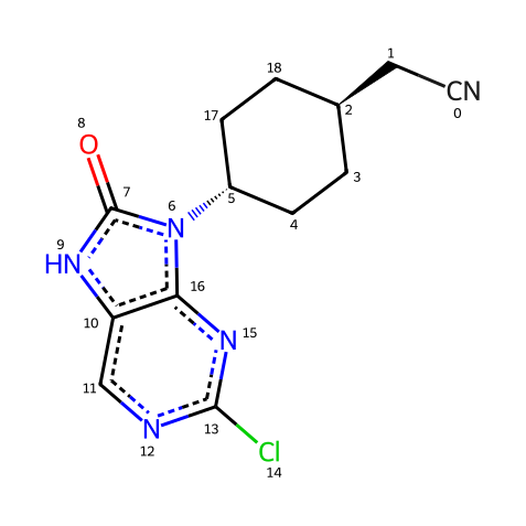 N#CC[C@H]1CC[C@H](n2c(=O)[nH]c3cnc(Cl)nc32)CC1